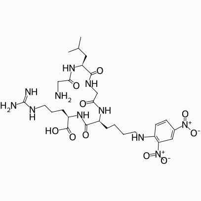 CC(C)C[C@H](NC(=O)CN)C(=O)NCC(=O)N[C@@H](CCCCNc1ccc([N+](=O)[O-])cc1[N+](=O)[O-])C(=O)N[C@H](CCCNC(=N)N)C(=O)O